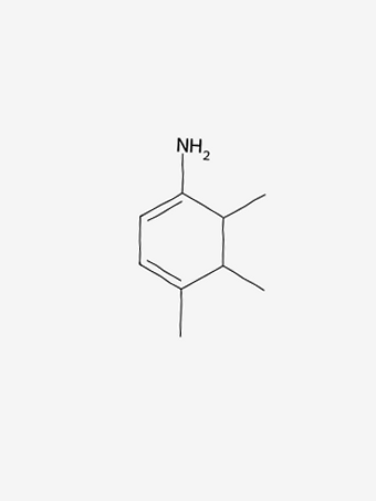 CC1=CC=C(N)C(C)C1C